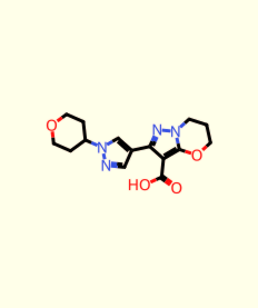 O=C(O)c1c(-c2cnn(C3CCOCC3)c2)nn2c1OCCC2